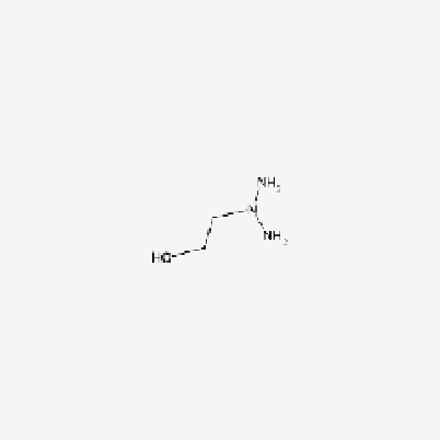 NN(N)CCO